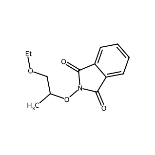 CCOCC(C)ON1C(=O)c2ccccc2C1=O